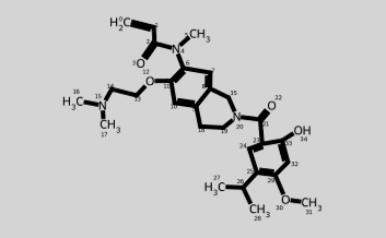 C=CC(=O)N(C)c1cc2c(cc1OCCN(C)C)CCN(C(=O)c1cc(C(C)C)c(OC)cc1O)C2